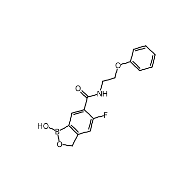 O=C(NCCOc1ccccc1)c1cc2c(cc1F)COB2O